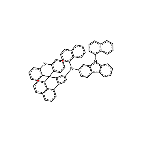 c1ccc2c(c1)Sc1ccccc1C21c2cc(N(c3ccc4c5ccccc5n(-c5cccc6ccccc56)c4c3)c3cccc4ccccc34)ccc2-c2cccc3cccc1c23